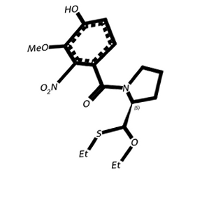 CCOC(SCC)[C@@H]1CCCN1C(=O)c1ccc(O)c(OC)c1[N+](=O)[O-]